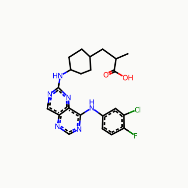 CC(CC1CCC(Nc2ncc3ncnc(Nc4ccc(F)c(Cl)c4)c3n2)CC1)C(=O)O